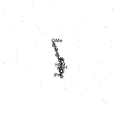 COCCOCCOCCOCCn1cc(C(=O)Nc2nc3cc(C(=O)C(C)C)ccc3[nH]2)nn1